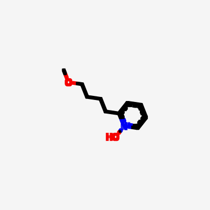 COCCCCc1cccc[n+]1O